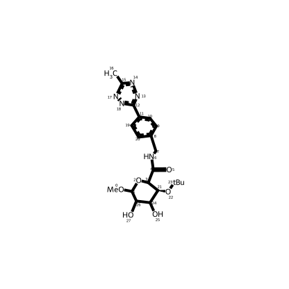 COC1OC(C(=O)NCc2ccc(-c3nnc(C)nn3)cc2)[C@@H](OC(C)(C)C)C(O)C1O